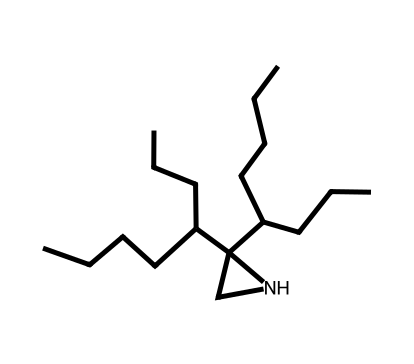 CCCCC(CCC)C1(C(CCC)CCCC)CN1